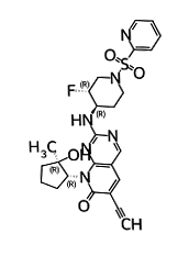 C#Cc1cc2cnc(N[C@@H]3CCN(S(=O)(=O)c4ccccn4)C[C@H]3F)nc2n([C@@H]2CCC[C@@]2(C)O)c1=O